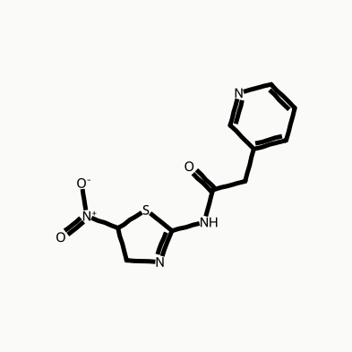 O=C(Cc1cccnc1)NC1=NCC([N+](=O)[O-])S1